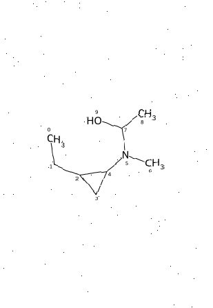 CCC1CC1N(C)C(C)O